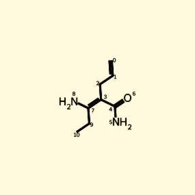 C=CCC(C(N)=O)=C(N)CC